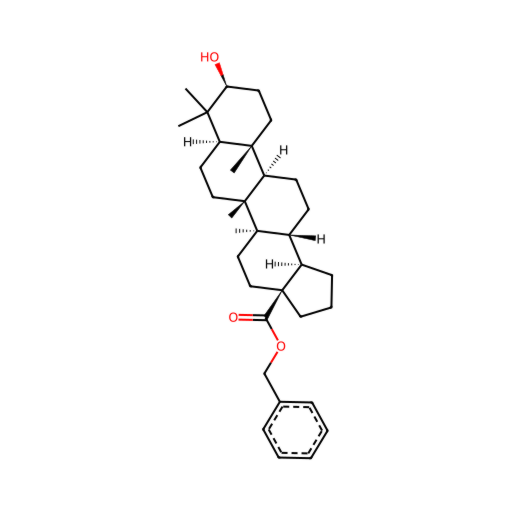 CC1(C)[C@@H](O)CC[C@]2(C)[C@H]3CC[C@@H]4[C@H]5CCC[C@]5(C(=O)OCc5ccccc5)CC[C@@]4(C)[C@]3(C)CC[C@@H]12